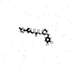 Cc1nnc(-c2coc(CNC(=O)NC[C@H]3CN(Cc4ccc(Cl)c(Cl)c4)CCO3)c2)o1